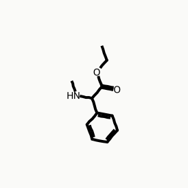 CCOC(=O)C(NC)c1ccccc1